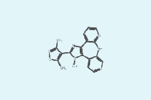 Cc1noc(C)c1-c1nc2c(n1O)-c1ccncc1Nc1ncccc1-2